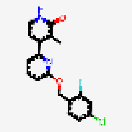 Cc1c(-c2cccc(OCc3ccc(Cl)cc3F)n2)cc[nH]c1=O